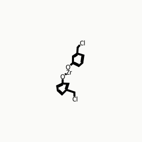 ClCc1cccc([O][Zr][O]c2cccc(CCl)c2)c1